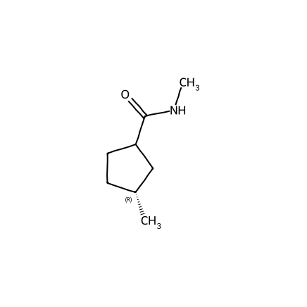 CNC(=O)C1CC[C@@H](C)C1